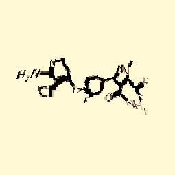 Cn1nc(-c2ccc(Oc3ccnc(N)c3Cl)c(F)c2)c(C(N)=O)c1C(F)F